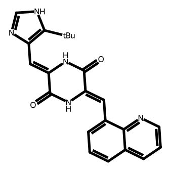 CC(C)(C)c1[nH]cnc1/C=c1\[nH]c(=O)/c(=C/c2cccc3cccnc23)[nH]c1=O